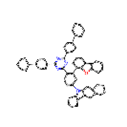 c1ccc(-c2ccc(-c3nc(-c4ccc(-c5ccccc5)cc4)nc(-c4ccc(-n5c6ccccc6c6cc7ccccc7cc65)cc4-c4cccc5c4oc4ccccc45)n3)cc2)cc1